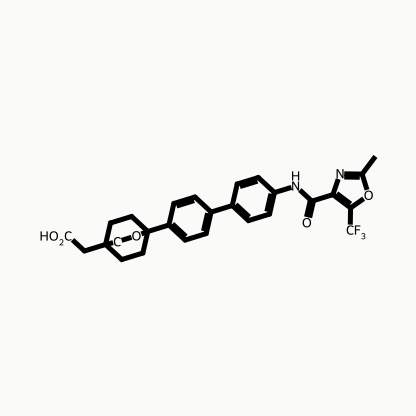 Cc1nc(C(=O)Nc2ccc(-c3ccc(C45CCC(CC(=O)O)(CC4)CO5)cc3)cc2)c(C(F)(F)F)o1